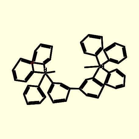 C[SH](c1ccccc1)(c1ccccc1)(c1ccccc1)c1cccc(-c2cccc([SH](C)(c3ccccc3)(c3ccccc3)c3ccccc3)c2)c1